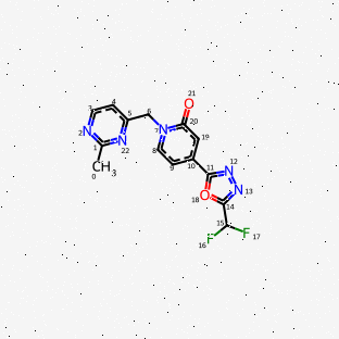 Cc1nccc(Cn2ccc(-c3nnc(C(F)F)o3)cc2=O)n1